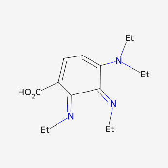 CCN=C1C(C(=O)O)=CC=C(N(CC)CC)C1=NCC